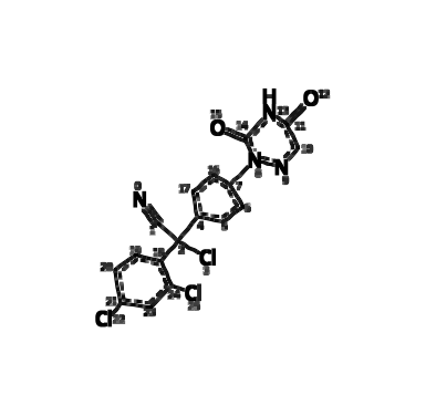 N#CC(Cl)(c1ccc(-n2ncc(=O)[nH]c2=O)cc1)c1ccc(Cl)cc1Cl